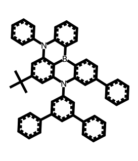 CC(C)(C)c1cc2c3c(c1)N(c1cc(-c4ccccc4)cc(-c4ccccc4)c1)c1cc(-c4ccccc4)ccc1B3c1ccccc1N2c1ccccc1